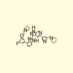 Fc1cc(OCCN2CCCC2)cc(-c2cccc3[nH]c(-c4n[nH]c5cnc(-c6cncc(CN7CCCCC7)c6)cc45)nc23)c1